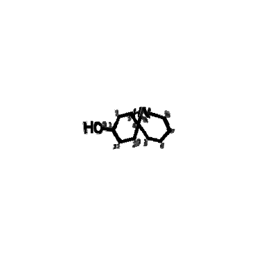 OC1CCC2(CCCCN2)CC1